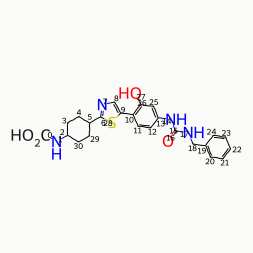 O=C(O)NC1CCC(c2ncc(-c3ccc(NC(=O)NCc4ccccc4)cc3O)s2)CC1